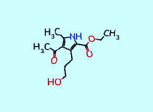 CCOC(=O)c1[nH]c(C)c(C(C)=O)c1CCCO